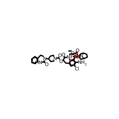 CCOC(=O)CN1C2CCC1CC(N1CCN(C(=O)C(Cc3cc(Cl)c(N)c(C(F)(F)F)c3)OC(=O)N3CCC(N4CCc5ccccc5NC4=O)CC3)CC1)C2